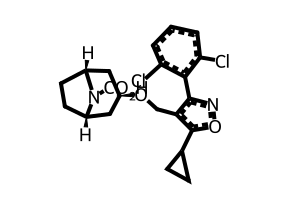 O=C(O)N1[C@@H]2CC[C@H]1C[C@H](OCc1c(-c3c(Cl)cccc3Cl)noc1C1CC1)C2